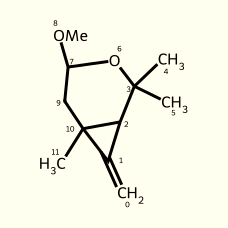 C=C1C2C(C)(C)OC(OC)CC12C